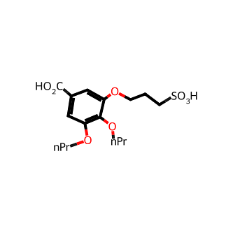 CCCOc1cc(C(=O)O)cc(OCCCS(=O)(=O)O)c1OCCC